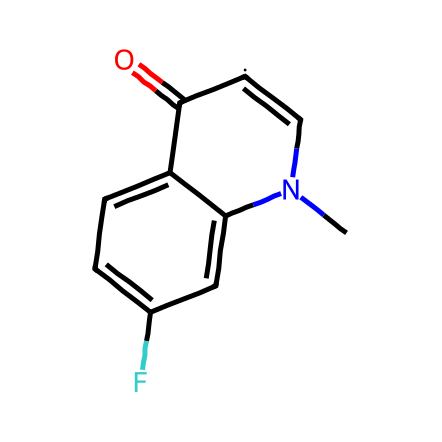 Cn1c[c]c(=O)c2ccc(F)cc21